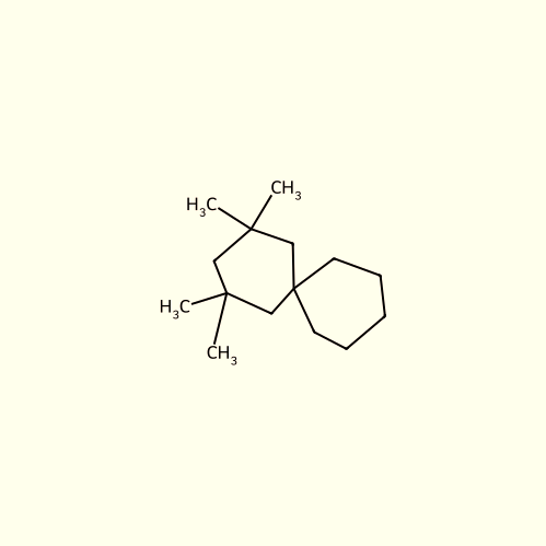 CC1(C)CC(C)(C)CC2(CCCCC2)C1